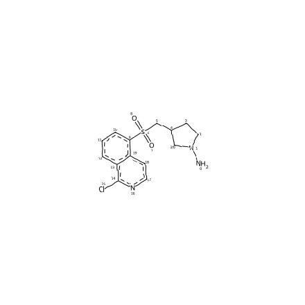 NN1CCC(CS(=O)(=O)c2cccc3c(Cl)nccc23)C1